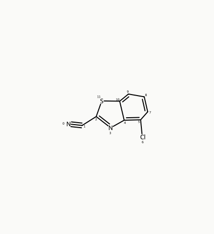 N#Cc1nc2c(Cl)cccc2s1